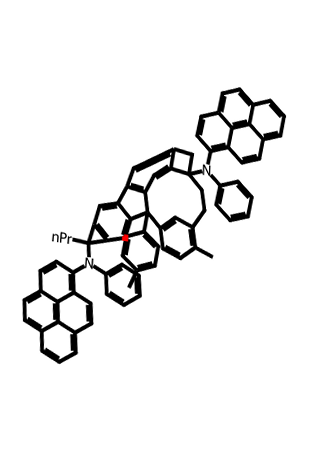 CCCC1(N(c2ccccc2)c2ccc3ccc4cccc5ccc2c3c45)c2cc3c(cc21)C1(c2ccc(C)cc2)c2ccc(C)c(c2)CCC2(N(c4ccccc4)c4ccc5ccc6cccc7ccc4c5c67)Cc4cc-3c1cc42